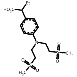 CCC(C(=O)O)c1ccc(N(CCS(C)(=O)=O)CCS(C)(=O)=O)cc1